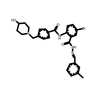 Cc1cccc(/C=N/NC(=O)c2cc(Br)ccc2NC(=O)c2ccc(CN3CCC(O)CC3)cc2)c1